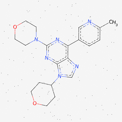 Cc1ccc(-c2nc(N3CCOCC3)nc3c2ncn3C2CCOCC2)cn1